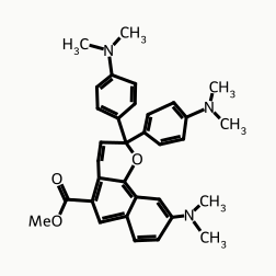 COC(=O)c1cc2ccc(N(C)C)cc2c2c1C=CC(c1ccc(N(C)C)cc1)(c1ccc(N(C)C)cc1)O2